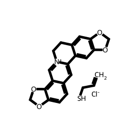 C=CCS.[Cl-].c1c2c(cc3c1OCO3)-c1cc3ccc4c(c3c[n+]1CC2)OCO4